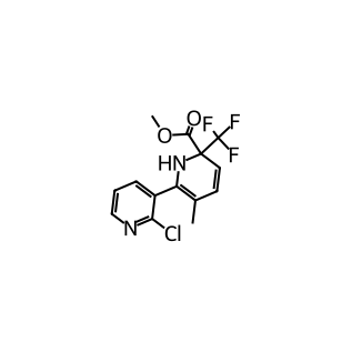 COC(=O)C1(C(F)(F)F)C=CC(C)=C(c2cccnc2Cl)N1